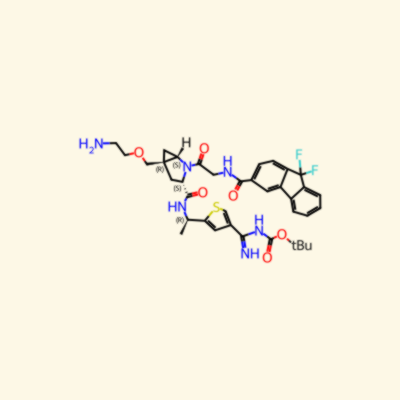 C[C@@H](NC(=O)[C@@H]1C[C@]2(COCCN)C[C@@H]2N1C(=O)CNC(=O)c1ccc2c(c1)-c1ccccc1C2(F)F)c1cc(C(=N)NC(=O)OC(C)(C)C)cs1